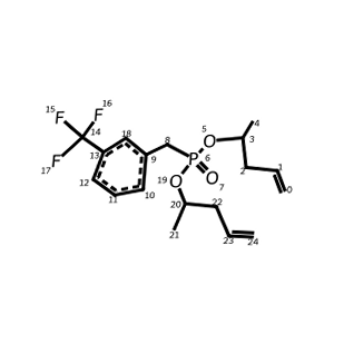 C=CCC(C)OP(=O)(Cc1cccc(C(F)(F)F)c1)OC(C)CC=C